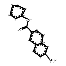 O=C(O)c1ccc2cc(C(=O)Nc3ccccc3)ccc2c1